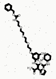 COc1cc(Nc2nc(N[C@H]3CCCC[C@H]3N)n3ccnc3c2C(N)=O)cc(OCCOCCOCCOCCNC(=O)OCc2ccccc2)c1